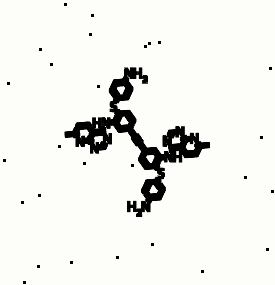 Cc1ccc2c(Nc3cc(C#Cc4ccc(Sc5ccc(N)cc5)c(Nc5ncnc6nc(C)ccc56)c4)ccc3Sc3ccc(N)cc3)ncnc2n1